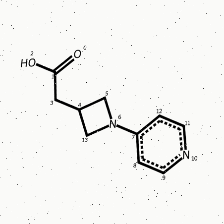 O=C(O)CC1CN(c2ccncc2)C1